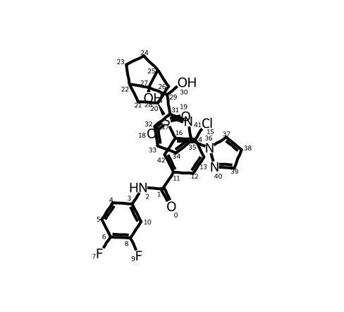 O=C(Nc1ccc(F)c(F)c1)c1ccc(Cl)c(S(=O)(=O)[C@H]2CC3CCC(C2)[C@]3(O)C(O)c2cccc(-n3cccn3)n2)c1